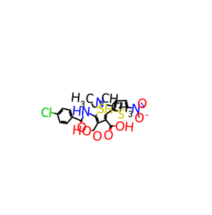 C=N[SH]1(CC)(CC)C(NC(=O)c2ccc(Cl)cc2)=C(C(=O)O)C(C(=O)O)=C1c1ccc([N+](=O)[O-])s1